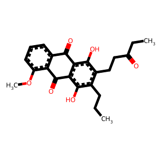 CCCc1c(O)c2c(c(O)c1CCC(=O)CC)C(=O)c1cccc(OC)c1C2=O